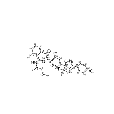 CSCC(C)NC(=O)c1c(I)cccc1C(=O)Nc1ccc(C2(C(F)(F)F)CC(c3ccc(Cl)cc3)=NO2)cc1C